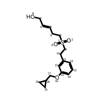 O=S(=O)(CC/C=C/CO)CCc1cccc(OCC2CC2)c1